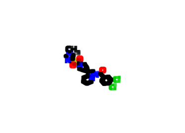 Cn1cnc(S(=O)(=O)N2CC3C(C2)C3(CNC(=O)c2ccc(Cl)c(Cl)c2)c2ccccn2)c1